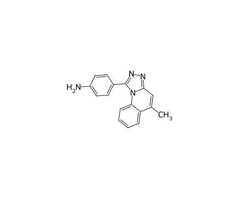 Cc1cc2nnc(-c3ccc(N)cc3)n2c2ccccc12